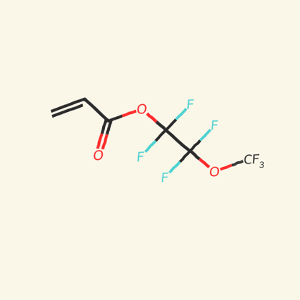 C=CC(=O)OC(F)(F)C(F)(F)OC(F)(F)F